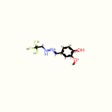 COc1cc(C=NNCC(F)(F)F)ccc1O